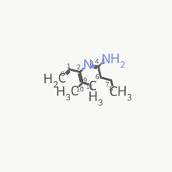 C=CC(/N=C(/N)CCC)=C(C)C